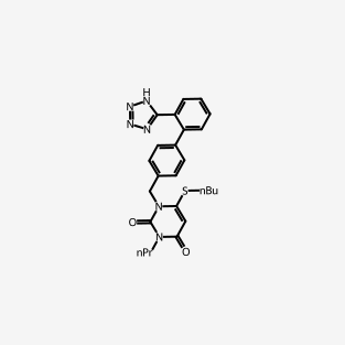 CCCCSc1cc(=O)n(CCC)c(=O)n1Cc1ccc(-c2ccccc2-c2nnn[nH]2)cc1